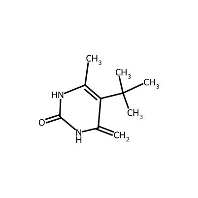 C=C1NC(=O)NC(C)=C1C(C)(C)C